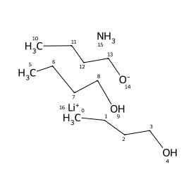 CCCCO.CCCCO.CCCC[O-].N.[Li+]